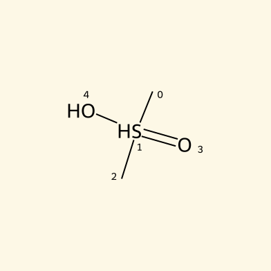 C[SH](C)(=O)O